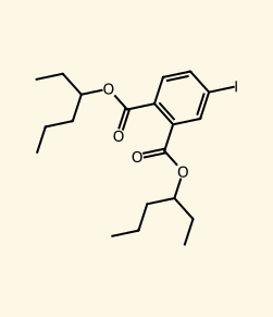 CCCC(CC)OC(=O)c1ccc(I)cc1C(=O)OC(CC)CCC